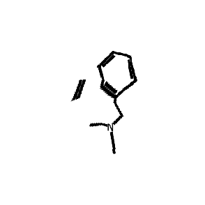 C=C.CN(C)Cc1ccccc1